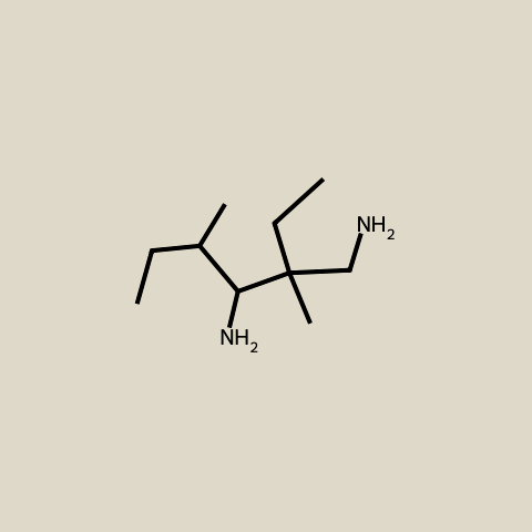 CCC(C)C(N)C(C)(CC)CN